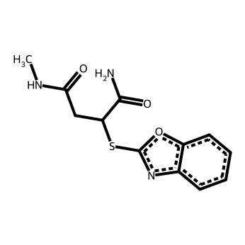 CNC(=O)CC(Sc1nc2ccccc2o1)C(N)=O